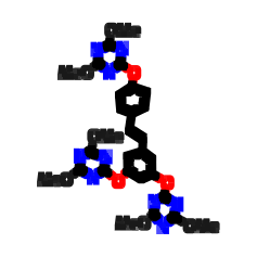 COc1nc(OC)nc(Oc2ccc(/C=C/c3cc(Oc4nc(OC)nc(OC)n4)cc(Oc4nc(OC)nc(OC)n4)c3)cc2)n1